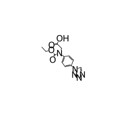 CCOC(=O)N(CC(=O)O)c1ccc(-n2cnnn2)cc1